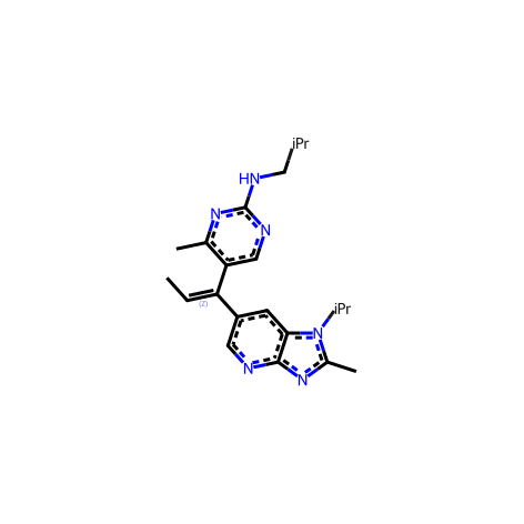 C/C=C(/c1cnc2nc(C)n(C(C)C)c2c1)c1cnc(NCC(C)C)nc1C